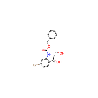 O=C(OCc1ccccc1)N1c2cc(Br)ccc2[C@@H](O)[C@H]1CO